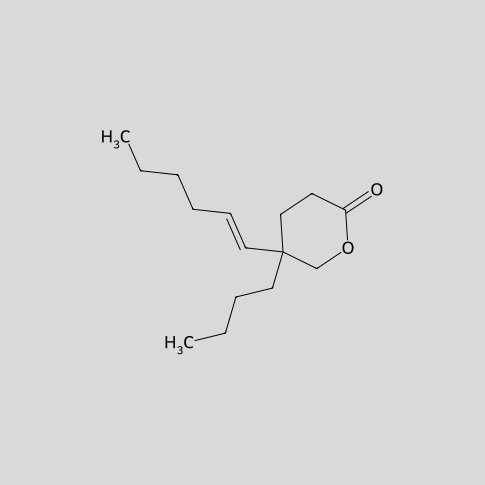 CCCCC=CC1(CCCC)CCC(=O)OC1